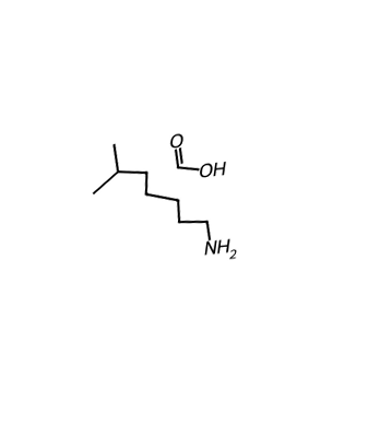 CC(C)CCCCCN.O=CO